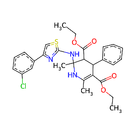 CCOC(=O)C1=C(C)NC(C)(Nc2nc(-c3cccc(Cl)c3)cs2)C(C(=O)OCC)C1c1ccccc1